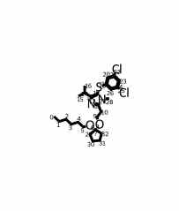 CCCCCCOC1(OCCc2nc(C(C)C)c(Sc3cc(Cl)cc(Cl)c3)n2C)CCCC1